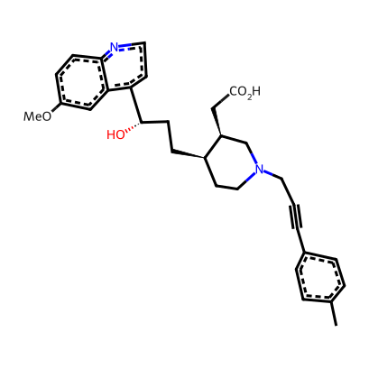 COc1ccc2nccc([C@@H](O)CC[C@@H]3CCN(CC#Cc4ccc(C)cc4)C[C@@H]3CC(=O)O)c2c1